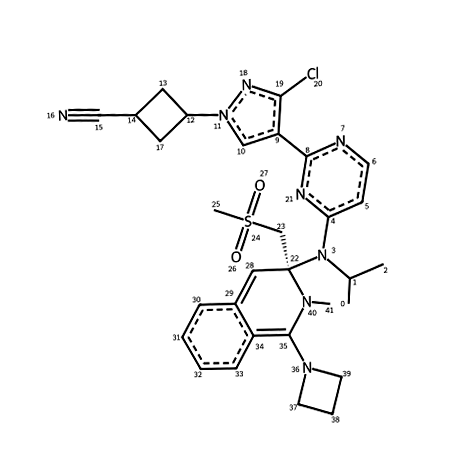 CC(C)N(c1ccnc(-c2cn(C3CC(C#N)C3)nc2Cl)n1)[C@]1(CS(C)(=O)=O)C=c2ccccc2=C(N2CCC2)N1C